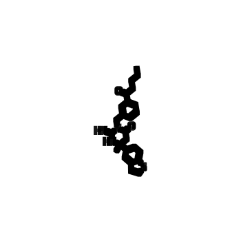 CCCCC(=O)c1cccc(CN2C(=N)NC(C)(c3ccc4sccc4c3)CC2=O)c1